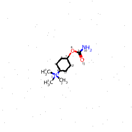 C[N+](C)(C)C1CCC(OC(N)=O)CC1